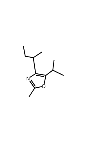 CCC(C)c1nc(C)oc1C(C)C